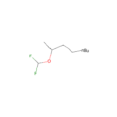 CCCCCCC(C)OC(F)F